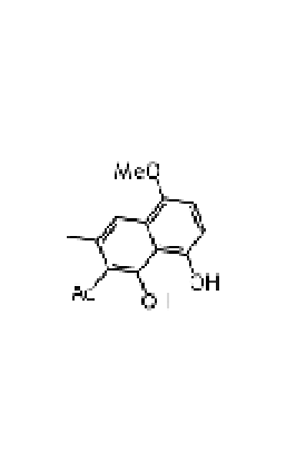 COc1ccc(O)c2c(O)c(C(C)=O)c(C)cc12